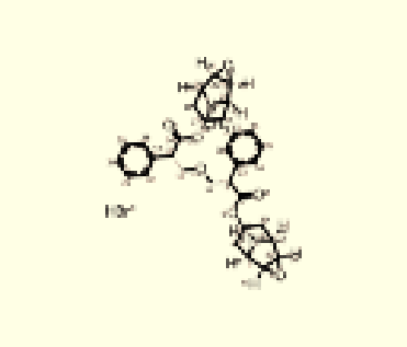 Br.CN1[C@@H]2C[C@@H](OC(=O)[C@H](COC[C@@H](C(=O)O[C@@H]3C[C@@H]4[C@H]5O[C@H]5[C@H](C3)N4C)c3ccccc3)c3ccccc3)C[C@H]1[C@@H]1O[C@@H]12